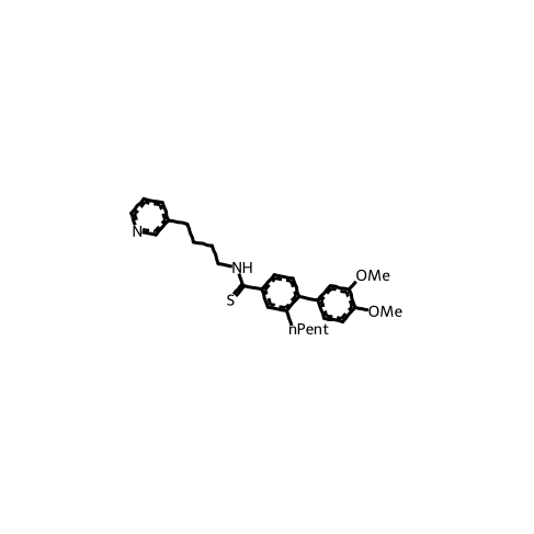 CCCCCc1cc(C(=S)NCCCCc2cccnc2)ccc1-c1ccc(OC)c(OC)c1